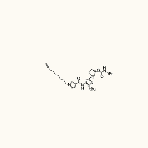 C#CCCCCCCCn1ccc(C(=O)Nc2cc([C@H]3CC[C@@H](OC(=O)NC(C)C)C3)nn2C(C)(C)C)c1